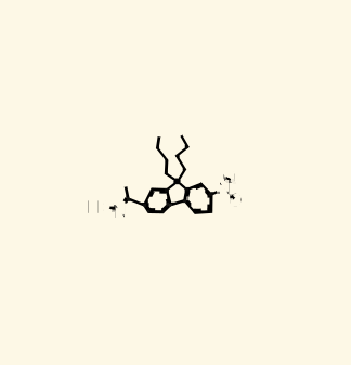 CCCCC1(CCCC)c2cc(C(C)=NO)ccc2-c2ccc([N+](=O)[O-])cc21